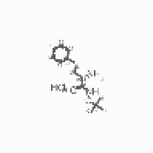 CC(C)(C)ONC(=O)[C@@H](N)CSc1ccccc1.Cl